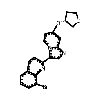 Brc1cccc2ccc(-c3cnc4cc(O[C@@H]5CCOC5)ccn34)nc12